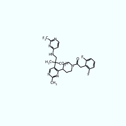 Cc1ncc(C(C)(CNc2ccnc(C(F)(F)F)n2)C(=O)O)c(C2CCN(C(=O)Cc3c(F)cccc3F)CC2)n1